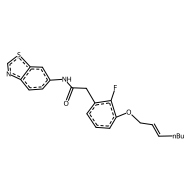 CCCCC=CCOc1cccc(CC(=O)Nc2ccc3ncsc3c2)c1F